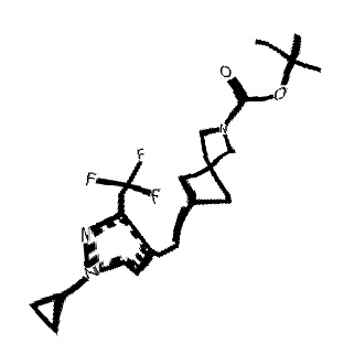 CC(C)(C)OC(=O)N1CC2(CC(=Cc3cn(C4CC4)nc3C(F)(F)F)C2)C1